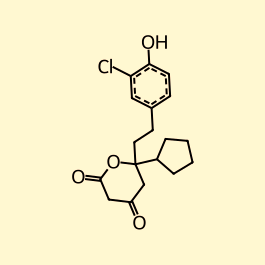 O=C1CC(=O)OC(CCc2ccc(O)c(Cl)c2)(C2CCCC2)C1